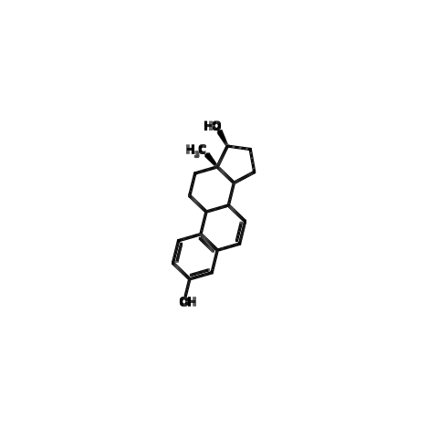 C[C@]12CCC3c4ccc(O)cc4C=CC3C1CC[C@@H]2O